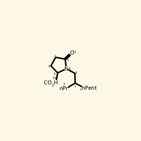 CCCCCC(CCC)CN1C(=O)CCC1C(=O)O